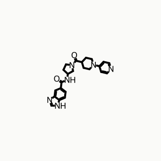 O=C(NC1CCN(C(=O)C2CCN(c3ccncc3)CC2)C1)c1ccc2[nH]cnc2c1